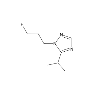 CC(C)c1ncnn1CCCF